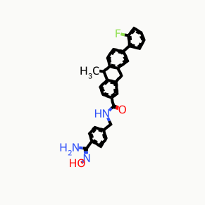 CC1c2ccc(C(=O)NCc3ccc(C(N)=NO)cc3)cc2Cc2cc(-c3ccccc3F)ccc21